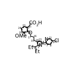 CCC(CC)c1nn(-c2ccc(Cl)cn2)cc1CCCOc1c(CC(=O)O)cccc1OC